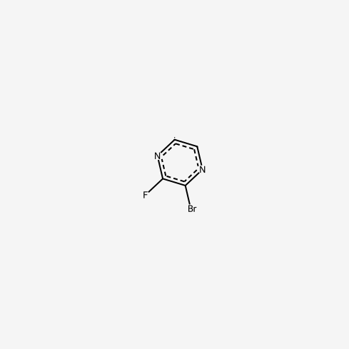 Fc1n[c]cnc1Br